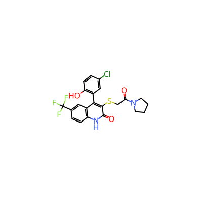 O=C(CSc1c(-c2cc(Cl)ccc2O)c2cc(C(F)(F)F)ccc2[nH]c1=O)N1CCCC1